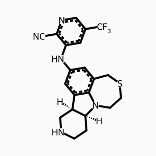 N#Cc1ncc(C(F)(F)F)cc1Nc1cc2c3c(c1)[C@@H]1CNCC[C@@H]1N3CCSC2